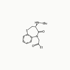 CCC(=O)CN1C(=O)[C@H](NC(C)(C)C)CSc2ccccc21